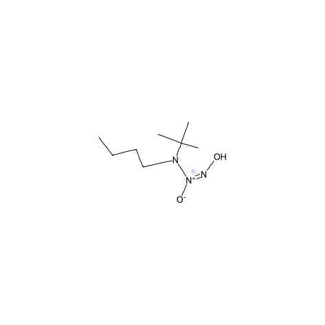 CCCCN(/[N+]([O-])=N\O)C(C)(C)C